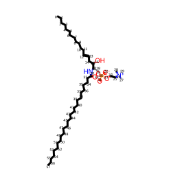 CCCCCCCCCCCCC=CC[C@@H](O)[C@H](COP(=O)([O-])OCC[N+](C)(C)C)NC(=O)CCCCCCCCCCCCCCCCCCCCCCCCC